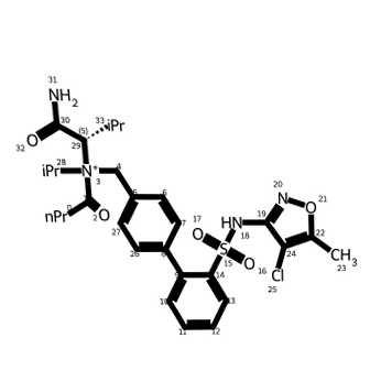 CCCC(=O)[N+](Cc1ccc(-c2ccccc2S(=O)(=O)Nc2noc(C)c2Cl)cc1)(C(C)C)[C@H](C(N)=O)C(C)C